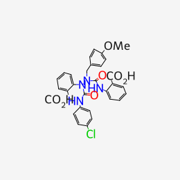 COc1ccc(CN(C(=O)Nc2ccccc2C(=O)O)N(C(=O)Nc2ccc(Cl)cc2)c2ccccc2C(=O)O)cc1